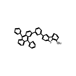 CC(C)(C)c1cccc2c1sc1ccc(-c3cccc(-c4ccc5c(-c6ccccc6)c6ccccc6c(-c6ccccc6)c5c4)c3)cc12